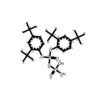 CC(C)(C)c1ccc(OP(=O)(Oc2ccc(C(C)(C)C)cc2C(C)(C)C)OP(=O)(O)O)c(C(C)(C)C)c1